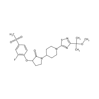 COC(C)(C)c1nsc(N2CCC(N3CCC(Oc4ccc(S(C)(=O)=O)cc4F)C3=O)CC2)n1